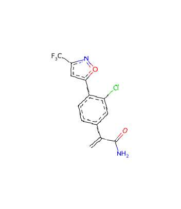 C=C(C(N)=O)c1ccc(-c2cc(C(F)(F)F)no2)c(Cl)c1